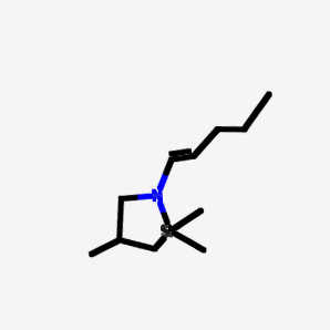 CCC/C=C/N1CC(C)C[Si]1(C)C